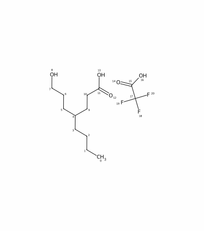 CCCCC(CCCO)CCC(=O)O.O=C(O)C(F)(F)F